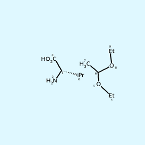 CC(C)[C@H](N)C(=O)O.CCOC(C)OCC